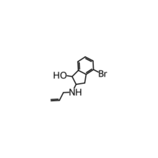 C=CCNC1Cc2c(Br)cccc2C1O